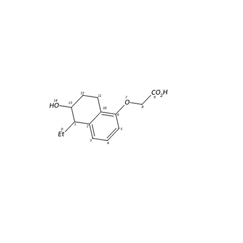 [CH2]CC1c2cccc(OCC(=O)O)c2CCC1O